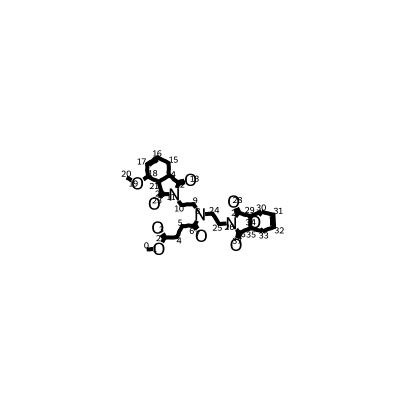 COC(=O)CCC(=O)N(CCN1C(=O)C2CC=CC(OC)C2C1=O)CCN1C(=O)C2C3C=CC(O3)C2C1=O